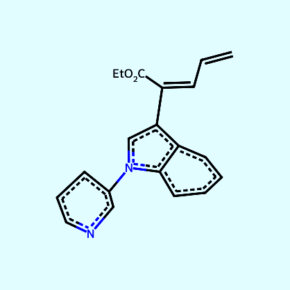 C=CC=C(C(=O)OCC)c1cn(-c2cccnc2)c2ccccc12